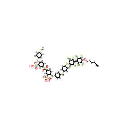 C#CCCCCOc1c(F)c(F)c(-c2c(F)c(F)c(Sc3ccc(Sc4ccc(Sc5ccc(S(=O)(=O)c6ccc(Sc7ccc(SC)cc7)c(S(=O)(=O)O)c6)cc5S(=O)(=O)O)cc4)cc3)c(F)c2F)c(F)c1F